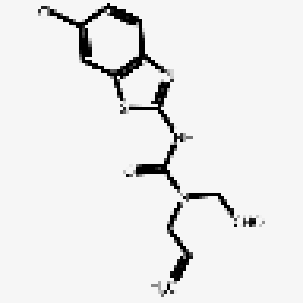 C=CCN(CC=O)C(=O)Nc1nc2ccc(Cl)cc2s1